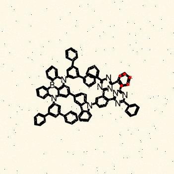 c1ccc(-c2cc(-c3ccccc3)cc(N3c4ccccc4B4c5ccccc5N(c5cc(-c6ccccc6)cc(-c6ccccc6)c5)c5cc(-c6ccc7c(c6)c6ccccc6n7-c6ccc(-c7nc(-c8ccccc8)nc(-c8ccccc8)n7)c(-c7nc(-c8ccccc8)nc(-c8ccccc8)n7)c6)cc3c54)c2)cc1